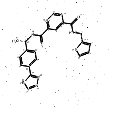 C[C@H](NC(=O)c1cc(C(=O)NCc2cccs2)ncn1)c1ccc(-c2nnn[nH]2)cc1